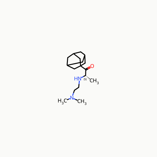 C[C@H](NCCN(C)C)C(=O)C12CC3CC(CC(C3)C1)C2